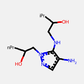 CCCC(O)Cn1ncc(N)c1NCC(O)C(C)C